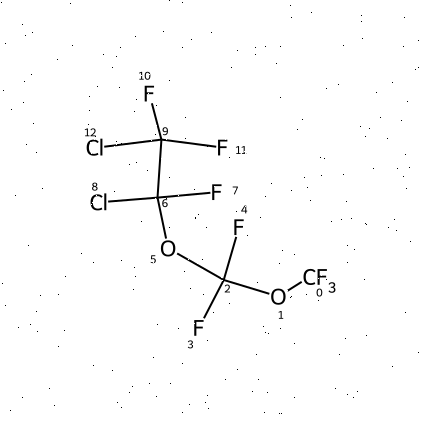 FC(F)(F)OC(F)(F)OC(F)(Cl)C(F)(F)Cl